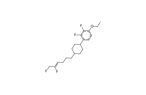 CCOc1ccc(C2CCC(CCC/C=C(\F)CF)CC2)c(F)c1F